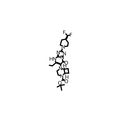 CCc1[nH]c2nc(N3CCC(=C(F)F)CC3)nn2c(=O)c1N1CCN(C(=O)OC(C)(C)C)[C@@H]2CC[C@H]21